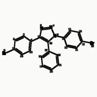 Brc1ccc(-c2nnn(-c3ccc(Br)cc3)c2-c2ccccc2)cc1